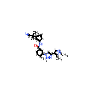 Cc1ccc(C(=O)Nc2cccc(C(C)(C)C#N)c2)cc1-n1cc(-c2cnn(C)c2C)nn1